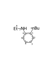 CCCCc1[c]cccc1NCC